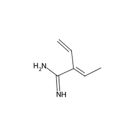 C=C/C(=C\C)C(=N)N